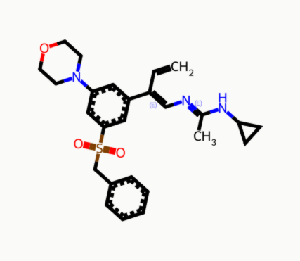 C=C/C(=C\N=C(/C)NC1CC1)c1cc(N2CCOCC2)cc(S(=O)(=O)Cc2ccccc2)c1